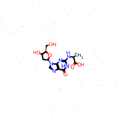 CC(Nc1nc2c(ncn2[C@H]2CC(O)[C@@H](CO)O2)c(=O)[nH]1)C(=O)O